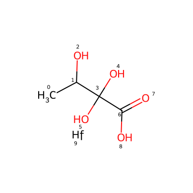 CC(O)C(O)(O)C(=O)O.[Hf]